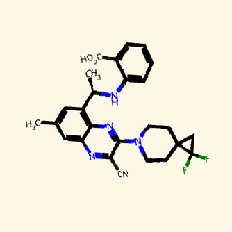 Cc1cc([C@@H](C)Nc2ccccc2C(=O)O)c2nc(N3CCC4(CC3)CC4(F)F)c(C#N)nc2c1